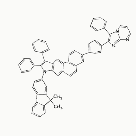 CC1(C)c2ccccc2-c2ccc(-n3c(-c4ccccc4)c(-c4ccccc4)c4cc5c(ccc6cc(-c7ccc(-c8nc9ncccn9c8-c8ccccc8)cc7)ccc65)cc43)cc21